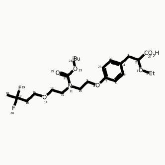 CCOC(Cc1ccc(OCCN(CCOCCC(C)(F)F)C(=O)OC(C)CC)cc1)C(=O)O